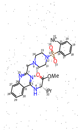 COC(=O)[C@@H](Nc1nc(CN2CCN(S(=O)(=O)c3ccccc3C#N)CC2)nc2ccccc12)C(C)C